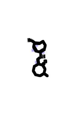 CC1CCCC/C(=C/NC2=C/CC/C=C(Br)/C=C\2)C(=O)C1